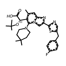 Cc1cc2nc(-c3ncc(Cc4ccc(F)cc4)s3)cn2c(N2CCC(C)(C)CC2)c1[C@H](OC(C)(C)C)C(=O)O